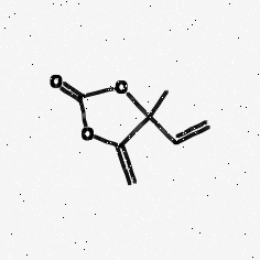 C=CC1(C)OC(=O)OC1=C